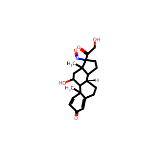 CC12C=CC(=O)C=C1CC[C@@H]1C2C(O)CC2(C)C1CCC2(N=O)C(=O)CO